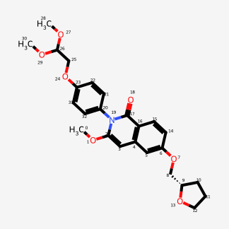 COc1cc2cc(OC[C@@H]3CCCO3)ccc2c(=O)n1-c1ccc(OCC(OC)OC)cc1